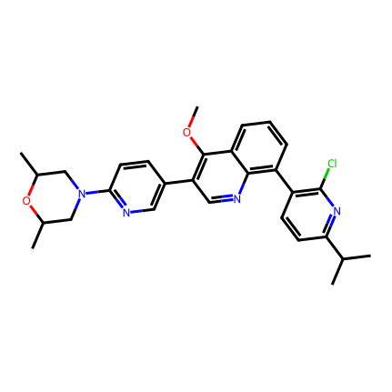 COc1c(-c2ccc(N3CC(C)OC(C)C3)nc2)cnc2c(-c3ccc(C(C)C)nc3Cl)cccc12